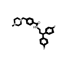 CN1CCN(Cc2ccc(C(=O)NCCC(c3ccc(F)cc3)c3ccc(F)cc3)cc2)CC1